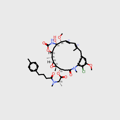 COc1cc2cc(c1Cl)N(C)C(=O)C[C@H](OC(=O)[C@H](C)N(C)C(=O)CCCc1ccc(C)cc1)[C@]1(C)O[C@H]1[C@H](C)[C@@H]1C[C@@](O)(NC(=O)O1)[C@H](OC)/C=C/C=C(\C)C2